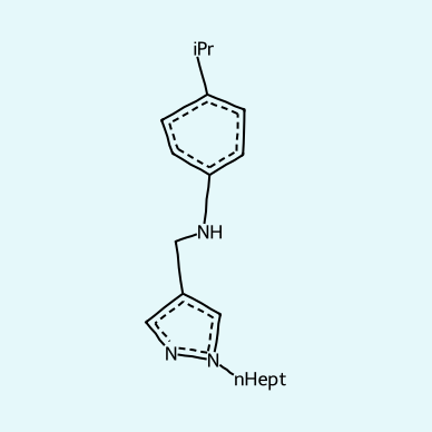 CCCCCCCn1cc(CNc2ccc(C(C)C)cc2)cn1